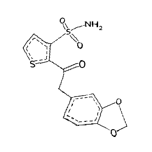 NS(=O)(=O)c1ccsc1C(=O)Cc1ccc2c(c1)OCO2